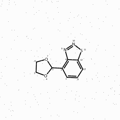 c1cc(C2OCCO2)c2nnsc2c1